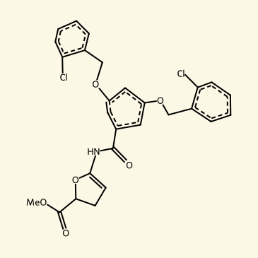 COC(=O)C1CC=C(NC(=O)c2cc(OCc3ccccc3Cl)cc(OCc3ccccc3Cl)c2)O1